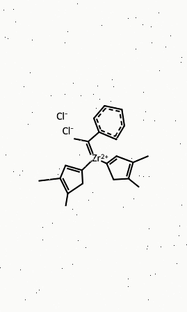 CC1=C(C)C[C]([Zr+2]([C]2=CC(C)=C(C)C2)=[C](C)c2ccccc2)=C1.[Cl-].[Cl-]